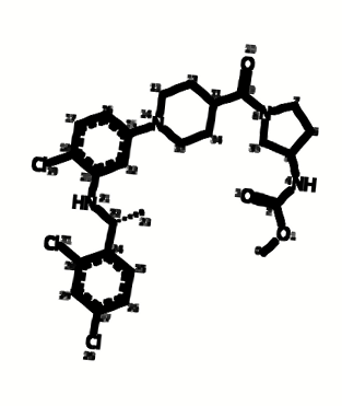 COC(=O)NC1CCN(C(=O)C2CCN(c3ccc(Cl)c(N[C@H](C)c4ccc(Cl)cc4Cl)c3)CC2)C1